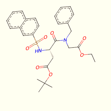 CCOC(=O)CN(Cc1ccccc1)C(=O)[C@H](CC(=O)OC(C)(C)C)NS(=O)(=O)c1ccc2ccccc2c1